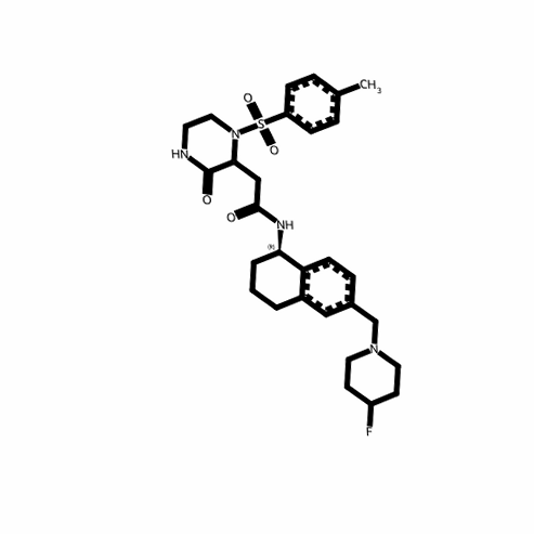 Cc1ccc(S(=O)(=O)N2CCNC(=O)C2CC(=O)N[C@@H]2CCCc3cc(CN4CCC(F)CC4)ccc32)cc1